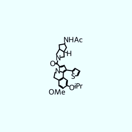 COc1cc2c(cc1OC(C)C)-c1c(-c3cccs3)cc(C(=O)N3CC4CC(NC(C)=O)C[C@@H]4C3)n1CC2